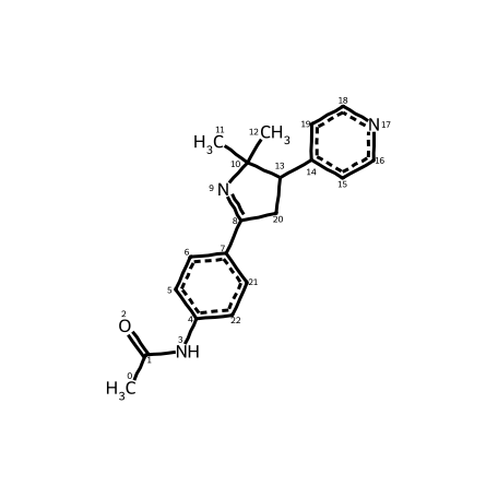 CC(=O)Nc1ccc(C2=NC(C)(C)C(c3ccncc3)C2)cc1